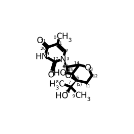 Cc1cn([C@@H]2O[C@@]3(C(C)(C)O)CCOC2C3O)c(=O)[nH]c1=O